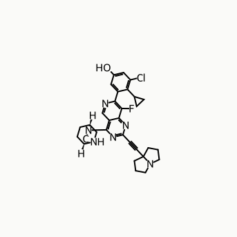 Oc1cc(Cl)c(C2CC2)c(-c2ncc3c(N4C[C@H]5CC[C@@H]4CN5)nc(C#CC45CCCN4CCC5)nc3c2F)c1